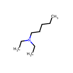 CCC[CH]CN(CC)CC